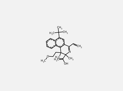 C=CC1=NC(C)(C(=C)O)C(C)(CCOC)c2c1cc(C(C)(C)C)c1ccccc21